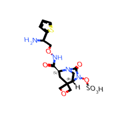 NC(CONC(=O)[C@@H]1CC2(COC2)[C@@H]2CN1C(=O)N2OS(=O)(=O)O)c1cccs1